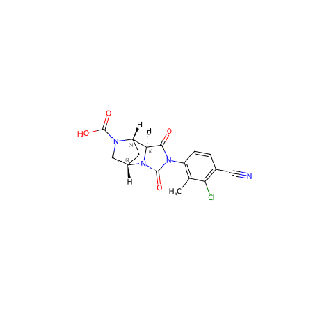 Cc1c(N2C(=O)[C@@H]3[C@@H]4C[C@@H](CN4C(=O)O)N3C2=O)ccc(C#N)c1Cl